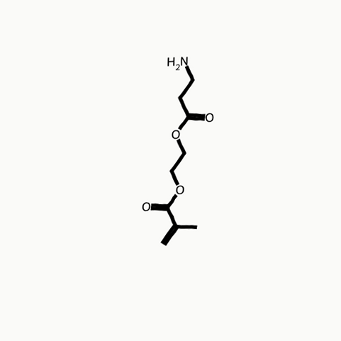 C=C(C)C(=O)OCCOC(=O)CCN